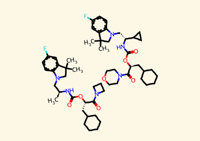 CC1(C)CN(C[C@@H](NC(=O)O[C@@H](CC2CCCCC2)C(=O)N2CCOCC2)C2CC2)c2ccc(F)cc21.C[C@@H](CN1CC(C)(C)c2cc(F)ccc21)NC(=O)O[C@@H](CC1CCCCC1)C(=O)N1CCC1